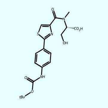 CN(C(=O)c1csc(-c2ccc(NC(=O)OC(C)(C)C)cc2)n1)[C@@H](CO)C(=O)O